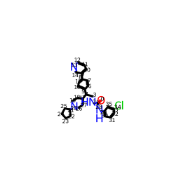 O=C(NCC(c1ccc(-c2cccnc2)cc1)C1CCN(C2CCCC2)CC1)Nc1cccc(Cl)c1